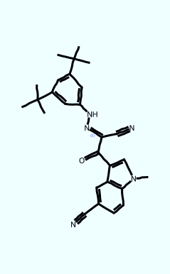 Cn1cc(C(=O)/C(C#N)=N/Nc2cc(C(C)(C)C)cc(C(C)(C)C)c2)c2cc(C#N)ccc21